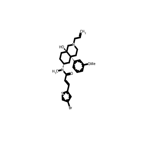 C=CCN1CC[C@@]2(c3cccc(OC)c3)C[C@H](N(C)C(=O)/C=C/c3cc(Br)cs3)CC[C@]2(O)C1